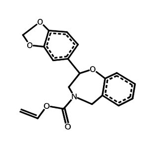 C=COC(=O)N1Cc2ccccc2OC(c2ccc3c(c2)OCO3)C1